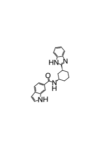 O=C(N[C@@H]1CCC[C@H](c2nc3ccccc3[nH]2)C1)c1ccc2cc[nH]c2c1